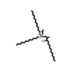 CCCCCCCCCCCCO[Si](CCC)(OCCCCCCCCCCCC)OCC(C)C(S)CCCCCCCCCCC